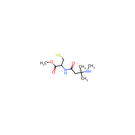 CNC(C)(C)CC(=O)NC(CS)C(=O)OC